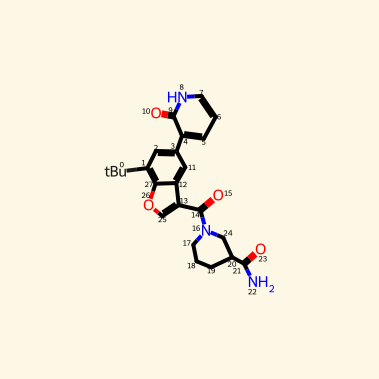 CC(C)(C)c1cc(-c2ccc[nH]c2=O)cc2c(C(=O)N3CCCC(C(N)=O)C3)coc12